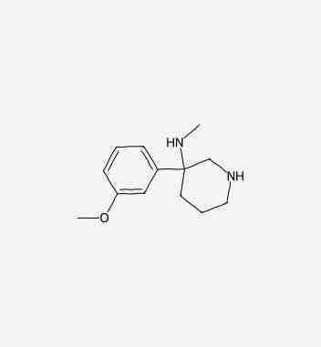 CNC1(c2cccc(OC)c2)CCCNC1